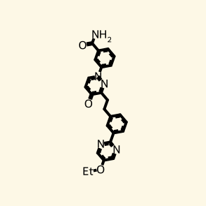 CCOc1cnc(-c2cccc(CCc3nn(-c4cccc(C(N)=O)c4)ccc3=O)c2)nc1